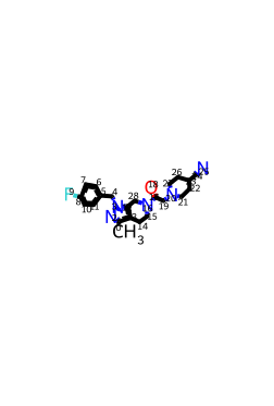 Cc1nn(Cc2ccc(F)cc2)c2c1CCN(C(=O)CN1CCC(C#N)CC1)C2